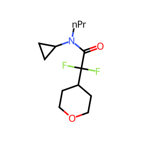 CCCN(C(=O)C(F)(F)C1CCOCC1)C1CC1